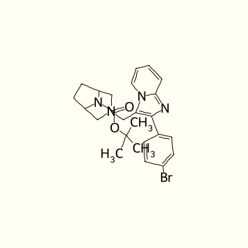 CC(C)(C)OC(=O)N1C2CCC1CN(Cc1c(-c3ccc(Br)cc3)nc3ccccn13)C2